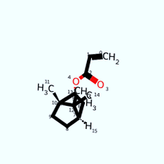 C=CC(=O)O[C@@H]1C[C@H]2CC[C@@]1(C)C2(C)C